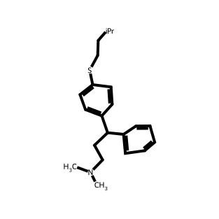 CC(C)CCSc1ccc(C(CCN(C)C)c2ccccc2)cc1